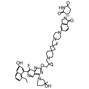 CCc1cccc2cc(O)cc(-c3ncc4c(N5CCC[C@@](C)(O)C5)nc(OCC5(CN6CCC7(CC6)CC(F)(CN6CCN(c8ccc9c(c8)CN([C@H]8CCC(=O)NC8=O)C9=O)CC6)C7)CC5)nc4c3F)c12